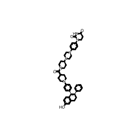 O=C1CCN(c2ccc(N3CCN(C4CCN(C(=O)C5CCN(c6ccc([C@@H]7c8ccc(O)cc8CC[C@@H]7c7ccccc7)cc6)CC5)CC4)CC3)cc2)C(=O)N1